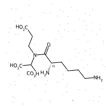 NCCCC[C@H](N)C(=O)N(CCC(=O)O)C(C(=O)O)C(=O)O